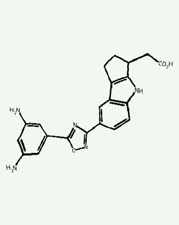 Nc1cc(N)cc(-c2nc(-c3ccc4[nH]c5c(c4c3)CCC5CC(=O)O)no2)c1